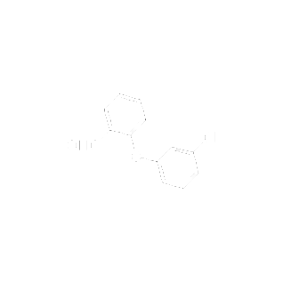 O=Cc1ccccc1Oc1cccc(Cl)c1